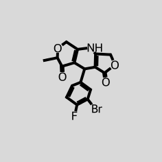 CC1OCC2=C(C1=O)C(c1ccc(F)c(Br)c1)C1=C(COC1=O)N2